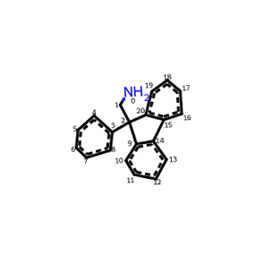 NCC1(c2ccccc2)c2ccccc2-c2ccccc21